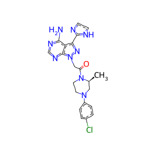 C[C@H]1CN(c2ccc(Cl)cc2)CCN1C(=O)Cn1nc(-c2ncc[nH]2)c2c(N)ncnc21